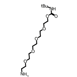 CC(C)(C)NC(=O)OCCOCCOCCOCCOCCN